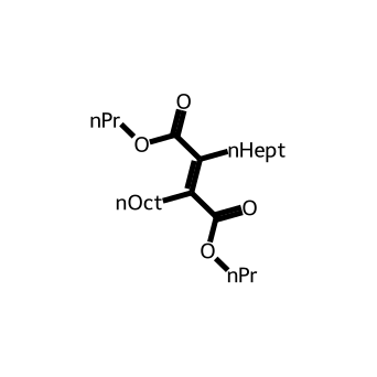 CCCCCCCCC(C(=O)OCCC)=C(CCCCCCC)C(=O)OCCC